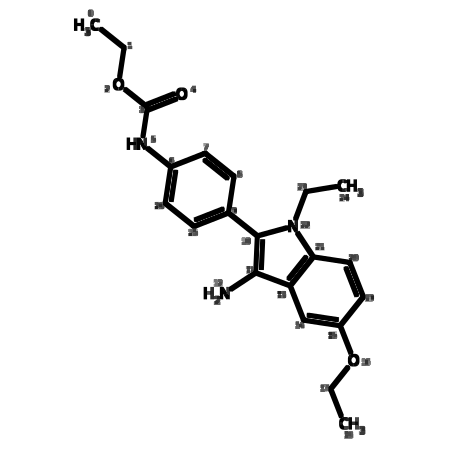 CCOC(=O)Nc1ccc(-c2c(N)c3cc(OCC)ccc3n2CC)cc1